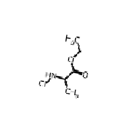 CCOC(=O)C(C)NCl